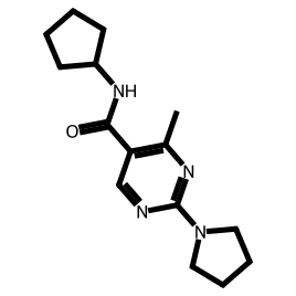 Cc1nc(N2CCCC2)ncc1C(=O)NC1CCCC1